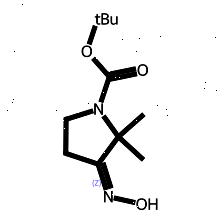 CC(C)(C)OC(=O)N1CC/C(=N/O)C1(C)C